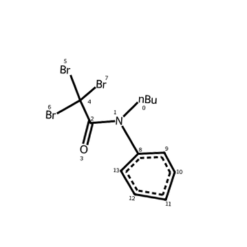 CCCCN(C(=O)C(Br)(Br)Br)c1ccccc1